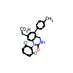 Cc1ccc(-c2cc(CC(=O)O)cc3c2CNC(=O)N3c2c(Cl)cccc2Cl)cc1